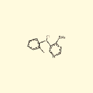 CSc1ncncc1C(Cl)c1ccccc1F